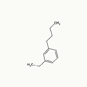 CCC[CH]c1cccc(CC)c1